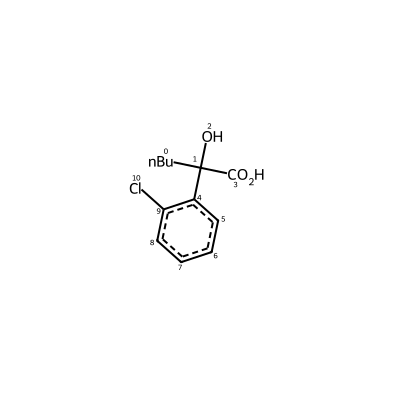 CCCCC(O)(C(=O)O)c1ccccc1Cl